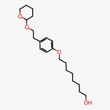 OCCCCCCCCOc1ccc(CCOC2CCCCO2)cc1